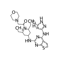 CCC1CC(Nc2nc(Nc3cc(C)[nH]n3)c3ccsc3n2)CC(CC)N1C(=O)CN1CCOCC1